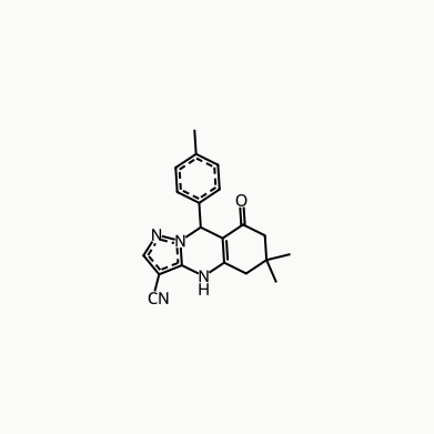 Cc1ccc(C2C3=C(CC(C)(C)CC3=O)Nc3c(C#N)cnn32)cc1